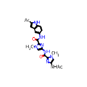 CC(=O)Nc1cn(C)c(C(=O)Nc2cn(C)c(C(=O)Nc3ccc4[nH]c(C(C)=O)cc4c3)n2)n1